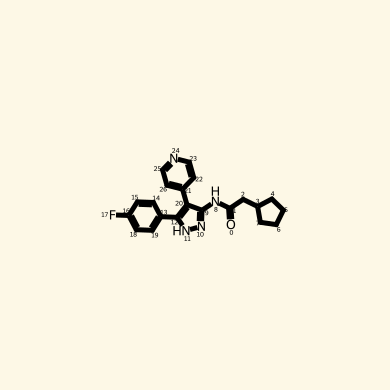 O=C(CC1CCCC1)Nc1n[nH]c(-c2ccc(F)cc2)c1-c1ccncc1